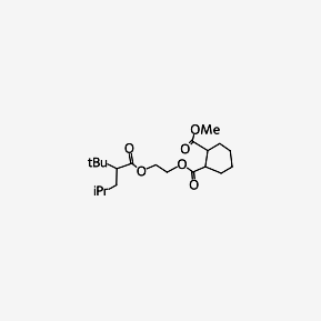 COC(=O)C1CCCCC1C(=O)OCCOC(=O)C(CC(C)C)C(C)(C)C